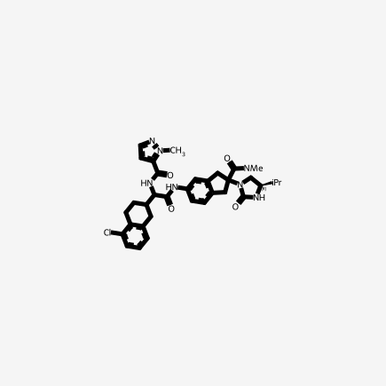 CNC(=O)C1(N2C[C@@H](C(C)C)NC2=O)Cc2ccc(NC(=O)C(NC(=O)c3ccnn3C)C3CCc4c(Cl)cccc4C3)cc2C1